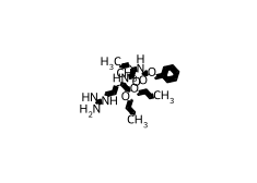 CCCCOC(OCCCC)[C@H](CCCNC(=N)N)NC(=O)[C@H](CC(C)C)NC(=O)OCc1ccccc1